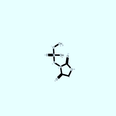 COP(=O)(O)SN1C(=O)COC1=O